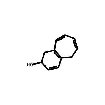 OC1C=CC2=C(C=CC=CC2)C1